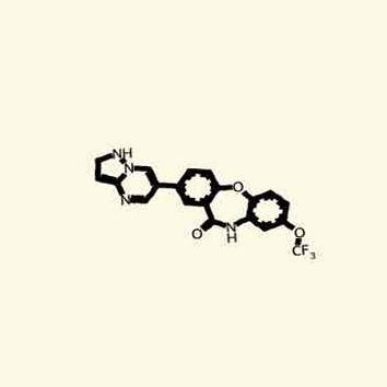 O=C1Nc2cc(OC(F)(F)F)ccc2Oc2ccc(C3=CN4NCC=C4N=C3)cc21